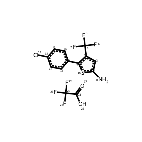 Nc1cc(C(F)(F)F)c(-c2ccc(Cl)cc2)s1.O=C(O)C(F)(F)F